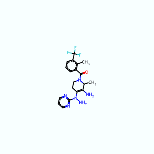 Cc1c(C(=O)N2CCC(N(N)c3ncccn3)=C(N)C2C)cccc1C(F)(F)F